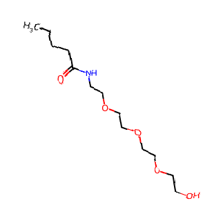 CCCCC(=O)NCCOCCOCCOCCO